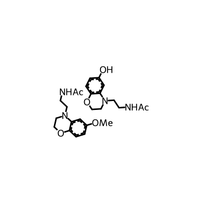 CC(=O)NCCN1CCOc2ccc(O)cc21.COc1ccc2c(c1)N(CCNC(C)=O)CCO2